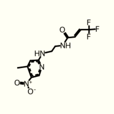 Cc1cc(NCCNC(=O)C=CC(F)(F)F)ncc1[N+](=O)[O-]